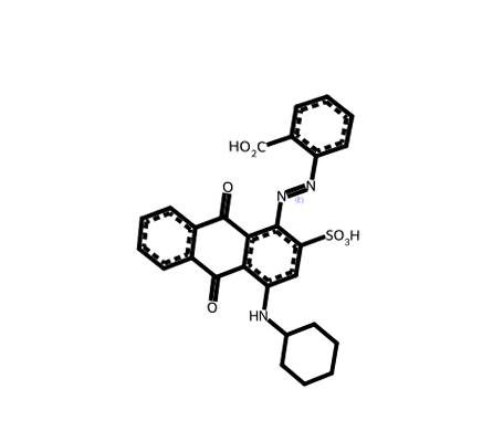 O=C(O)c1ccccc1/N=N/c1c(S(=O)(=O)O)cc(NC2CCCCC2)c2c1C(=O)c1ccccc1C2=O